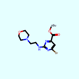 CCCCOC(=O)c1cc(Br)nc(NCCN2CCOCC2)n1